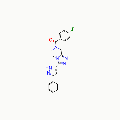 O=C(c1ccc(F)cc1)N1CCn2c(nnc2-c2cc(-c3ccccc3)n[nH]2)C1